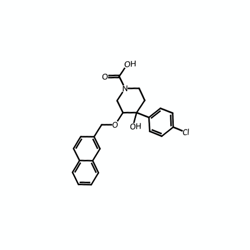 O=C(O)N1CCC(O)(c2ccc(Cl)cc2)C(OCc2ccc3ccccc3c2)C1